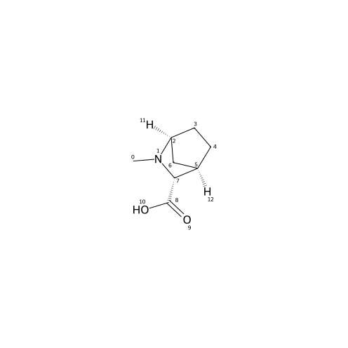 CN1[C@H]2CC[C@H](C2)[C@@H]1C(=O)O